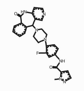 Cn1nccc1C(=O)Nc1ccc(N2CCN(C3c4cnccc4NC(=O)c4ccccc43)CC2)c(F)c1